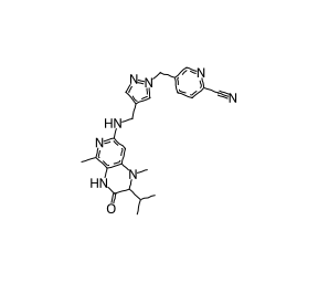 Cc1nc(NCc2cnn(Cc3ccc(C#N)nc3)c2)cc2c1NC(=O)C(C(C)C)N2C